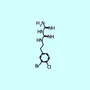 N=C(N)NC(=N)NCCc1ccc(Cl)c(Br)c1